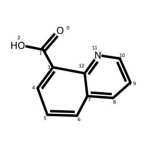 O=C(O)c1cccc2c[c]cnc12